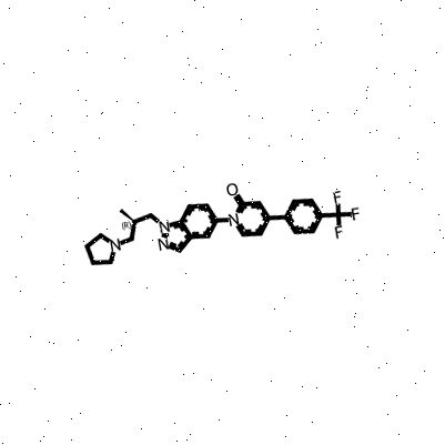 C[C@H](CN1CCCC1)Cn1ncc2cc(-n3ccc(-c4ccc(C(F)(F)F)cc4)cc3=O)ccc21